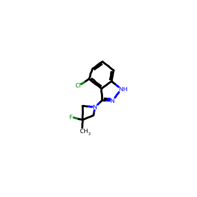 CC1(F)CN(c2n[nH]c3cccc(Cl)c23)C1